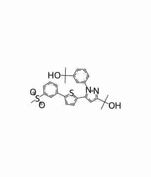 CC(C)(O)c1cccc(-n2nc(C(C)(C)O)cc2-c2ccc(-c3cccc(S(C)(=O)=O)c3)s2)c1